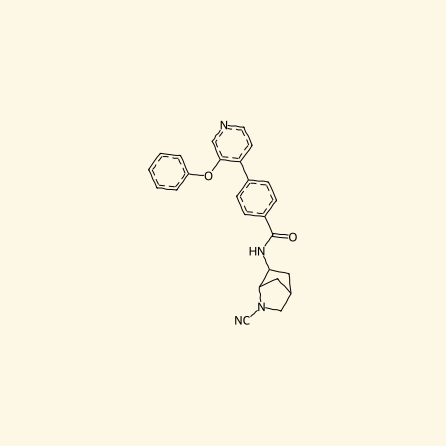 N#CN1CC2CC(NC(=O)c3ccc(-c4ccncc4Oc4ccccc4)cc3)C1C2